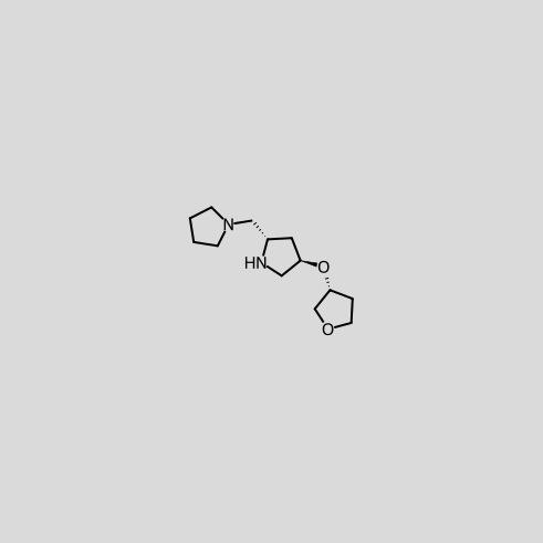 C1CCN(C[C@@H]2C[C@@H](O[C@@H]3CCOC3)CN2)C1